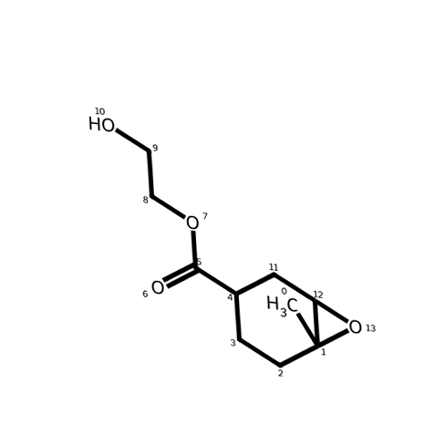 CC12CCC(C(=O)OCCO)CC1O2